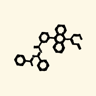 C=C/C=C(\C=C/C)c1c2ccccc2c(-c2cccc(C(=C)/N=C(\N=C(/C)c3ccccc3)c3ccccc3)c2)c2ccccc12